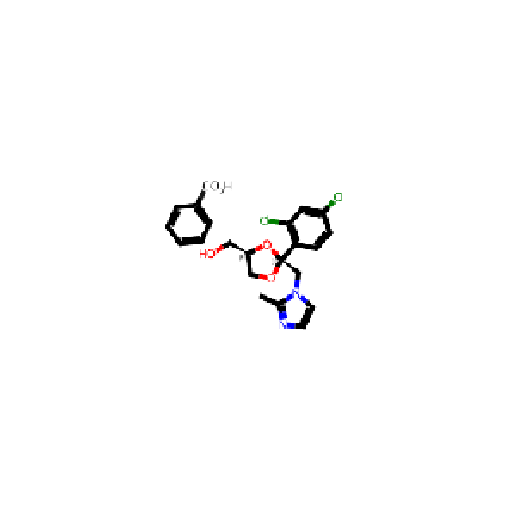 Cc1nccn1C[C@@]1(c2ccc(Cl)cc2Cl)OC[C@@H](CO)O1.O=C(O)c1ccccc1